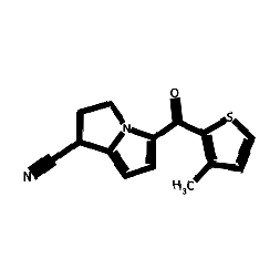 Cc1ccsc1C(=O)c1ccc2n1CCC2C#N